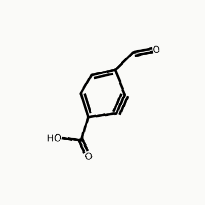 O=Cc1c#cc(C(=O)O)cc1